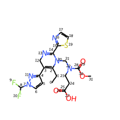 CCC1=C(c2ccn(C(F)F)n2)CN=C(c2nccs2)N1CN(CCC(=O)O)C(=O)OC